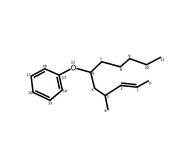 CC=CC(C)CC(CCCCC)Oc1ccccc1